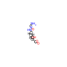 C[C@]12CC[C@H](NC(=O)N3CC[C@H](N)C3)C[C@H]1CC[C@@H]1[C@@H]2CC[C@]2(C)[C@@H](c3ccc(=O)oc3)CC[C@]12O